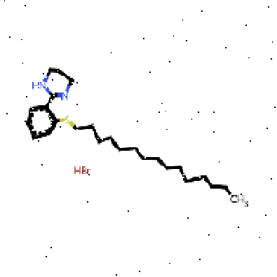 Br.CCCCCCCCCCCCCCCSc1ccccc1C1=NCCCN1